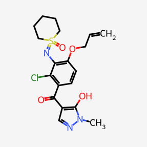 C=CCOc1ccc(C(=O)c2cnn(C)c2O)c(Cl)c1N=S1(=O)CCCCC1